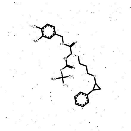 Cc1ccc(CNC(=O)[C@H](CCCCNC2CC2c2ccccc2)NC(=O)OC(C)(C)C)cc1C